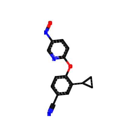 N#Cc1ccc(Oc2ccc(N=O)cn2)c(C2CC2)c1